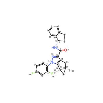 O=C(N[C@H]1CCc2ccccc21)c1nn(-c2ccc(F)cc2F)c2c1C[C@H]1C[C@@H]21